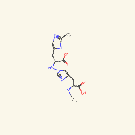 CN[C@@H](Cc1cn(N[C@@H](Cc2cnc(C)[nH]2)C(=O)O)cn1)C(=O)O